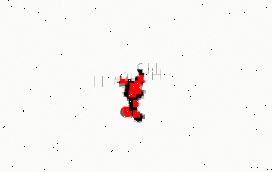 CCC(C)c1ccc2c(c1)c1cc(C(C)CC)ccc1n2-c1cccc2c1c1ccccc1n2-c1ccc2c(c1)c1ccccc1n2-c1ccccc1